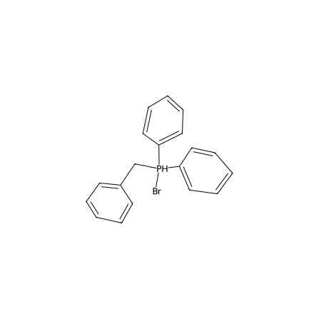 Br[PH](Cc1ccccc1)(c1ccccc1)c1ccccc1